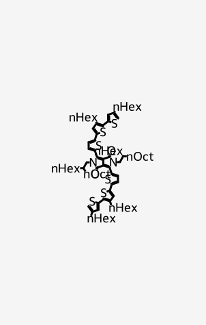 CCCCCCCCC(CCCCCC)CN1C(=O)C2=C(c3ccc(-c4cc(CCCCCC)c(-c5cc(CCCCCC)cs5)s4)s3)N(CC(CCCCCC)CCCCCCCC)C(=O)C2=C1c1ccc(-c2cc(CCCCCC)c(-c3cc(CCCCCC)cs3)s2)s1